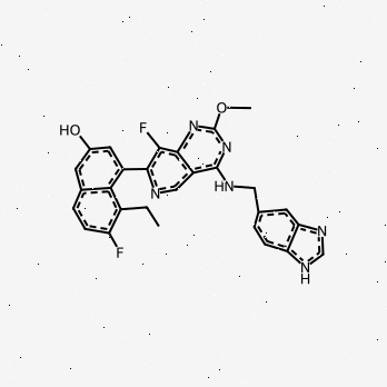 CCc1c(F)ccc2cc(O)cc(-c3ncc4c(NCc5ccc6[nH]cnc6c5)nc(OC)nc4c3F)c12